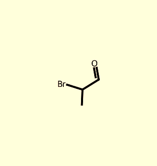 CC(Br)C=O